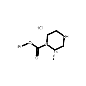 CC(C)OC(=O)N1CCNC[C@@H]1C.Cl